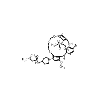 CCN(c1cc2c(F)cc1Nc1nc(ncc1Br)Nc1cc(c(N3CCC(NC(=O)CN(C)C)CC3)cc1OC)OCCCCO2)S(C)(=O)=O